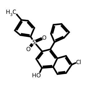 Cc1ccc(S(=O)(=O)c2cc(O)c3ccc(Cl)cc3c2-c2ccccc2)cc1